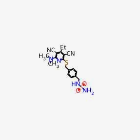 CCc1c(C#N)c(SCc2ccc(CNS(N)(=O)=O)cc2)nc(N(C)C)c1C#N